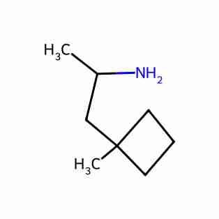 CC(N)CC1(C)CCC1